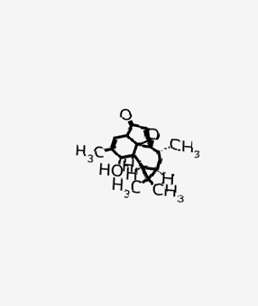 CC1=CC2C(=O)C=C[C@]23C(=O)[C@H](C)C[C@@H]2[C@H]([C@@H]3[C@H]1O)C2(C)C